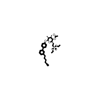 C#CCCCCc1cccc(-c2ccc(O[C@H]3O[C@H](CCP(=O)(OCC)OCC)[C@@H](OC(C)=O)[C@H](C)[C@@H]3C)cc2)c1